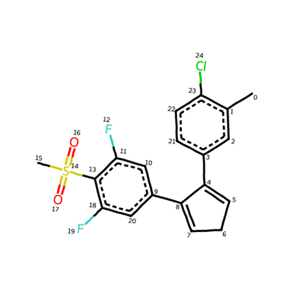 Cc1cc(C2=CCC=C2c2cc(F)c(S(C)(=O)=O)c(F)c2)ccc1Cl